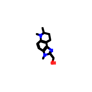 CC1CCc2c(ccc3c2nc(CO)n3C)N1C